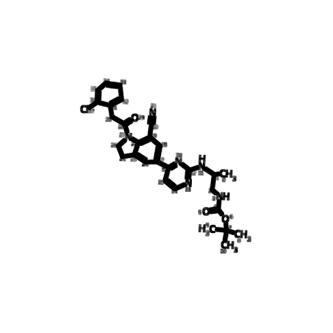 CC(CNC(=O)OC(C)(C)C)Nc1nccc(-c2cc(C#N)c3c(c2)CCN3C(=O)Cc2ccccc2Cl)n1